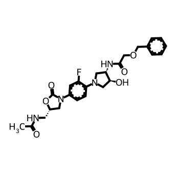 CC(=O)NC[C@H]1CN(c2ccc(N3C[C@H](NC(=O)COCc4ccccc4)[C@@H](O)C3)c(F)c2)C(=O)O1